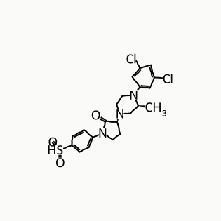 C[C@H]1CN([C@@H]2CCN(c3ccc([SH](=O)=O)cc3)C2=O)CCN1c1cc(Cl)cc(Cl)c1